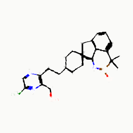 CC1(C)c2cccc3c2C(N[S+]1[O-])C1(CCC(CCc2ncc(Br)nc2CO)CC1)C3